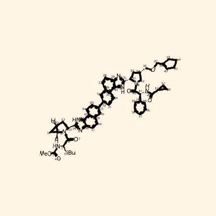 CC[C@H](C)[C@H](NC(=O)OC)C(=O)N1[C@@H]2C[C@@H]2C[C@H]1c1nc2ccc3cc(-c4ccc5c(ccc6nc([C@@H]7C[C@H](COCC8CCCC8)CN7C(=O)[C@H](NC(=O)C7CC7)c7ccccc7)[nH]c65)c4)ccc3c2[nH]1